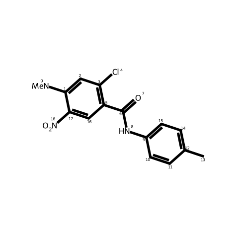 CNc1cc(Cl)c(C(=O)Nc2ccc(C)cc2)cc1[N+](=O)[O-]